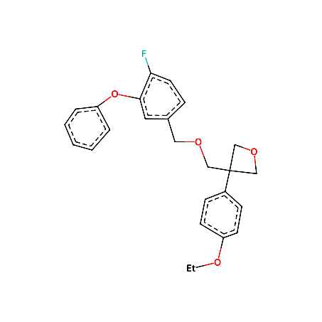 CCOc1ccc(C2(COCc3ccc(F)c(Oc4ccccc4)c3)COC2)cc1